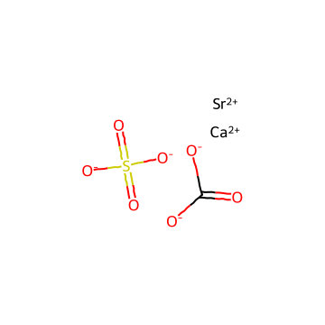 O=C([O-])[O-].O=S(=O)([O-])[O-].[Ca+2].[Sr+2]